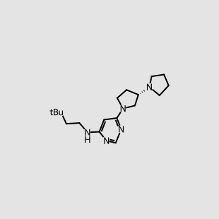 CC(C)(C)CCNc1cc(N2CC[C@H](N3CCCC3)C2)ncn1